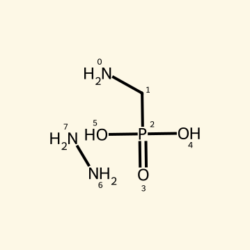 NCP(=O)(O)O.NN